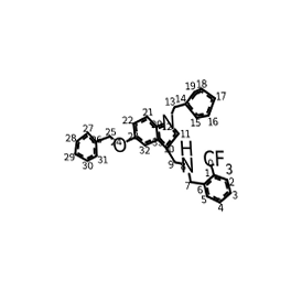 FC(F)(F)c1ccccc1CNCc1cn(Cc2ccccc2)c2ccc(OCc3ccccc3)cc12